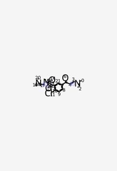 CN(C)/C=C/C(=O)c1ccc(Cl)c(S(=O)(=O)/N=C/N(C)C)c1